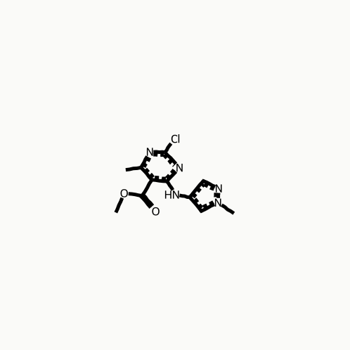 COC(=O)c1c(C)nc(Cl)nc1Nc1cnn(C)c1